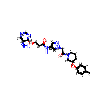 Cc1ccc(O[C@H]2CCCN(C(=O)Cn3cc(NC(=O)CCOc4ncncc4N)cn3)C2)cc1